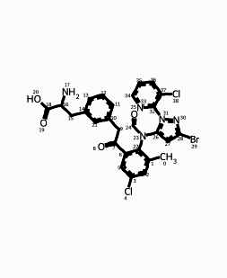 Cc1cc(Cl)cc(C(=O)Cc2cccc(CC(N)C(=O)O)c2)c1N(C=O)c1cc(Br)nn1-c1ncccc1Cl